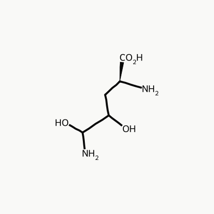 NC(O)C(O)C[C@H](N)C(=O)O